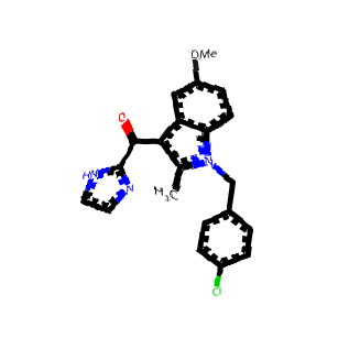 COc1ccc2c(c1)c(C(=O)c1ncc[nH]1)c(C)n2Cc1ccc(Cl)cc1